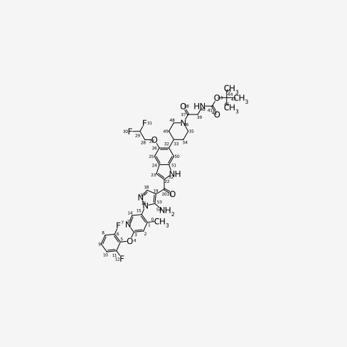 Cc1cc(Oc2c(F)cccc2F)ncc1-n1ncc(C(=O)c2cc3cc(OCC(F)F)c(C4CCN(C(=O)CNC(=O)OC(C)(C)C)CC4)cc3[nH]2)c1N